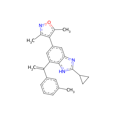 C=C(c1cccc(C)c1)c1cc(-c2c(C)noc2C)cc2nc(C3CC3)[nH]c12